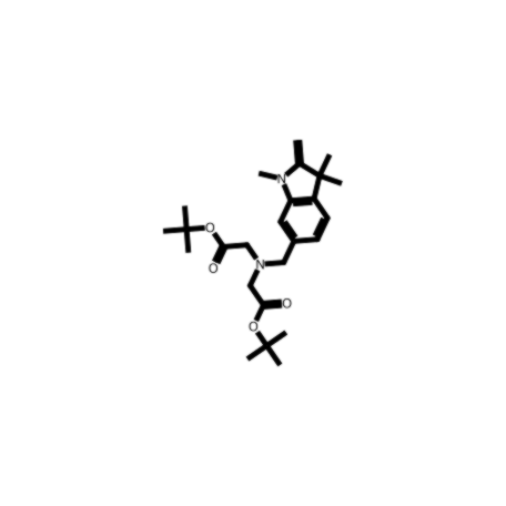 C=C1N(C)c2cc(CN(CC(=O)OC(C)(C)C)CC(=O)OC(C)(C)C)ccc2C1(C)C